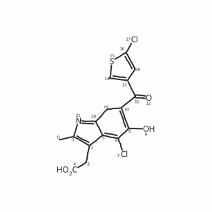 CC1=C(CC(=O)O)C2=C(Cl)C(O)=C(C(=O)c3csc(Cl)c3)CC2=N1